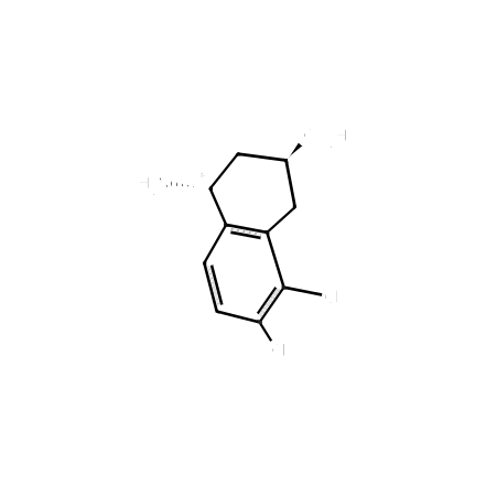 N[C@@H]1C[C@@H](C(=O)O)Cc2c1ccc(Cl)c2Cl